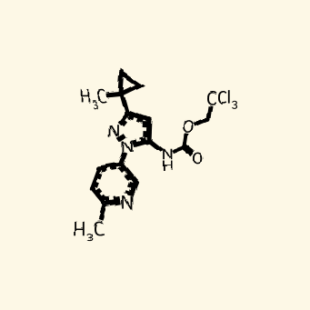 Cc1ccc(-n2nc(C3(C)CC3)cc2NC(=O)OCC(Cl)(Cl)Cl)cn1